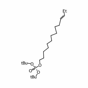 CCC=CCCCCCCCCCCOP(=O)(OC(C)(C)C)OC(C)(C)C